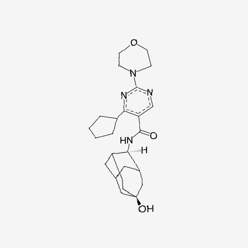 O=C(N[C@H]1C2CC3CC1C[C@@](O)(C3)C2)c1cnc(N2CCOCC2)nc1C1CCCC1